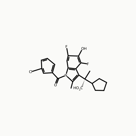 Cc1c([C@](C)(C(=O)O)C2CCCC2)c2c(F)c(O)c(F)cc2n1C(=O)c1cccc(Cl)c1